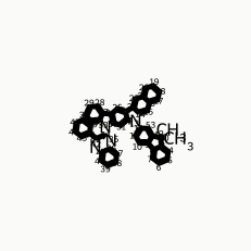 CC1(C)c2ccccc2-c2ccc(-n3c4cc5ccccc5cc4c4cc5c6ccccc6n(-c6nc7ccccc7nc6-c6ccccc6)c5cc43)cc21